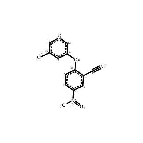 N#Cc1cc([N+](=O)[O-])ccc1Oc1cncc(Cl)c1